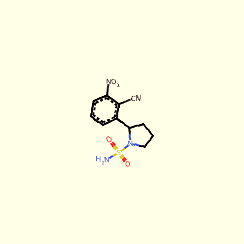 N#Cc1c(C2CCCN2S(N)(=O)=O)cccc1[N+](=O)[O-]